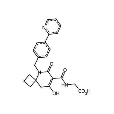 O=C(O)CNC(=O)C1=C(O)CC2(CCC2)N(Cc2ccc(-c3ccccn3)cc2)C1=O